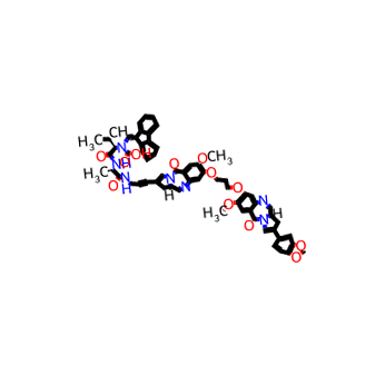 COc1cc2c(cc1OCCCOc1cc3c(cc1OC)C(=O)N1C=C(c4ccc5c(c4)OCO5)C[C@H]1C=N3)N=C[C@@H]1CC(C#CCNC(=O)[C@H](C)NC(=O)[C@@H](C(C)C)N(CC3c4ccccc4-c4ccccc43)C(=O)O)=CN1C2=O